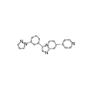 c1cc(-c2cnc3cc(-c4ccncc4)ccn23)cc(-n2cccn2)c1